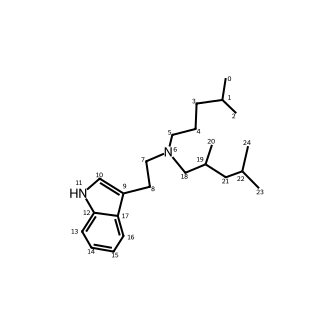 CC(C)CCCN(CCc1c[nH]c2ccccc12)CC(C)CC(C)C